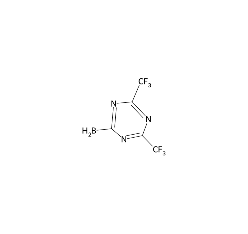 Bc1nc(C(F)(F)F)nc(C(F)(F)F)n1